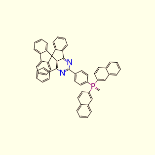 C=P(c1ccc(-c2nc(-c3ccccc3)c3c(n2)-c2ccccc2C32c3ccccc3-c3ccccc32)cc1)(c1ccc2ccccc2c1)c1ccc2ccccc2c1